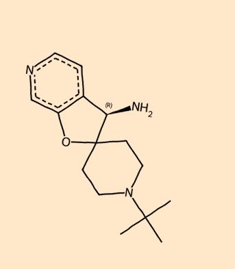 CC(C)(C)N1CCC2(CC1)Oc1cnccc1[C@H]2N